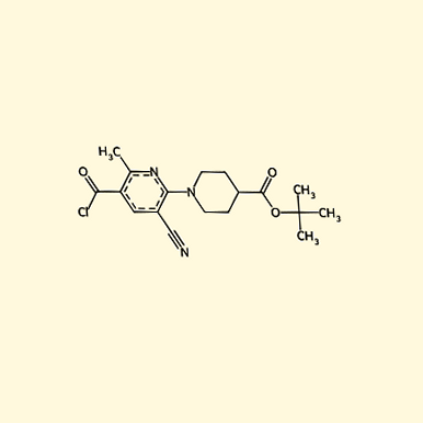 Cc1nc(N2CCC(C(=O)OC(C)(C)C)CC2)c(C#N)cc1C(=O)Cl